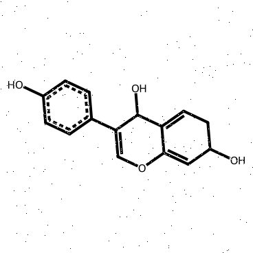 Oc1ccc(C2=COC3=CC(O)CC=C3C2O)cc1